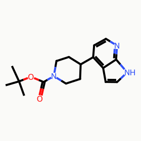 CC(C)(C)OC(=O)N1CCC(c2ccnc3[nH]ccc23)CC1